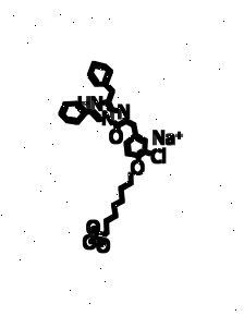 O=c1c(Cc2ccc(OCCCCCCCCS(=O)(=O)[O-])c(Cl)c2)nc2c(Cc3ccccc3)[nH]c(-c3ccccc3)cn1-2.[Na+]